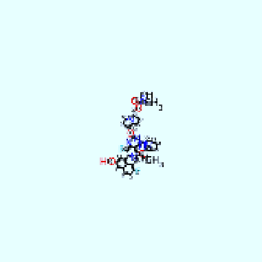 C#Cc1c(F)ccc2cc(O)cc(-c3nc(OCC)c4c(N5CC6CCC(C5)N6)nc(OC[C@]56CCCN5[C@@H](COC(=O)N(C)C)CC6)nc4c3F)c12